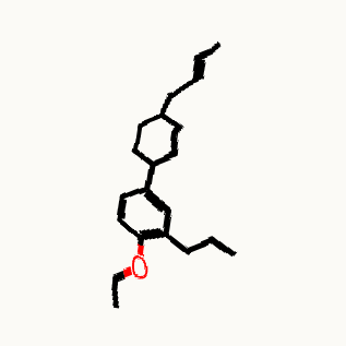 CC=CCC1CCC(c2ccc(OCC)c(CCC)c2)CC1